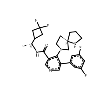 C[C@@H](NC(=O)c1cncc(-c2cc(F)cc(F)c2)c1N1CC[C@@]2(CCCN2)C1)C1CC(F)(F)C1